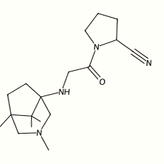 CN1CC2(C)CCC(NCC(=O)N3CCCC3C#N)(C1)C2(C)C